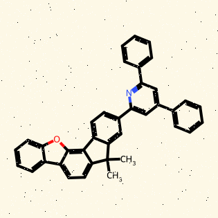 CC1(C)c2cc(-c3cc(-c4ccccc4)cc(-c4ccccc4)n3)ccc2-c2c1ccc1c2oc2ccccc21